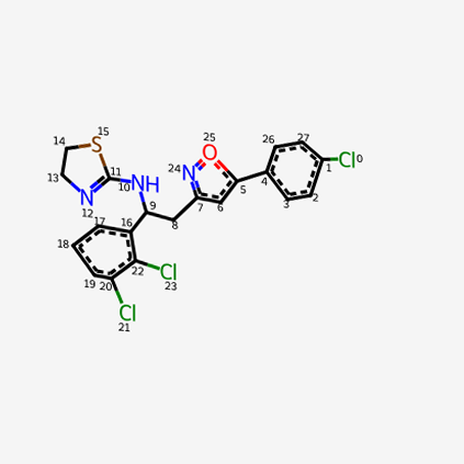 Clc1ccc(-c2cc(CC(NC3=NCCS3)c3cccc(Cl)c3Cl)no2)cc1